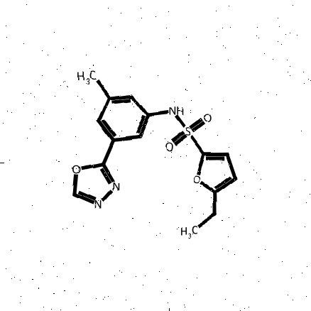 CCc1ccc(S(=O)(=O)Nc2cc(C)cc(-c3nnco3)c2)o1